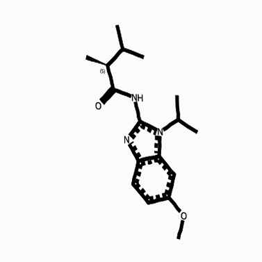 COc1ccc2nc(NC(=O)[C@@H](C)C(C)C)n(C(C)C)c2c1